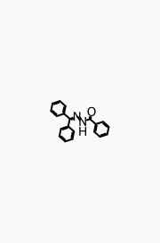 O=C(NN=C(c1ccccc1)c1ccccc1)c1ccccc1